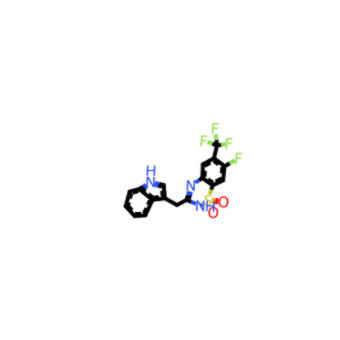 O=S1(=O)NC(Cc2c[nH]c3ccccc23)=Nc2cc(C(F)(F)F)c(F)cc21